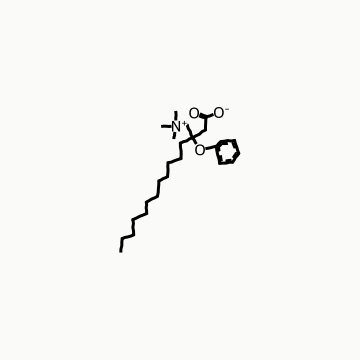 CCCCCCCCCCCCC(CC(=O)[O-])(C[N+](C)(C)C)Oc1ccccc1